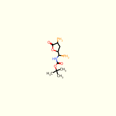 CC(C)(C)OC(=O)NC(P)C1CC(P)C(=O)O1